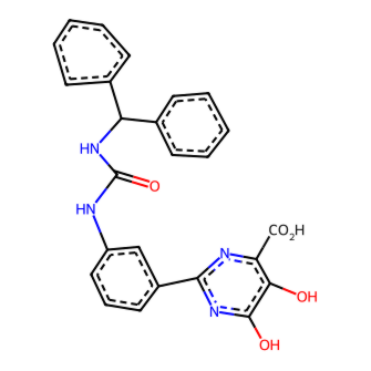 O=C(Nc1cccc(-c2nc(O)c(O)c(C(=O)O)n2)c1)NC(c1ccccc1)c1ccccc1